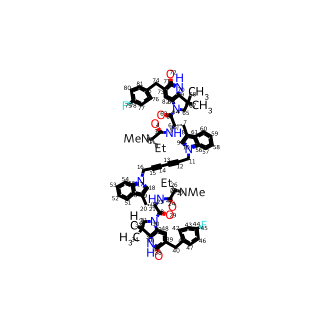 CC[C@H](NC)C(=O)N[C@@H](Cc1cn(CC#CC#CCn2cc(C[C@H](NC(=O)[C@H](CC)NC)C(=O)N3CC(C)(C)c4[nH]c(=O)c(Cc5ccc(F)cc5)cc43)c3ccccc32)c2ccccc12)C(=O)N1CC(C)(C)c2[nH]c(=O)c(Cc3ccc(F)cc3)cc21